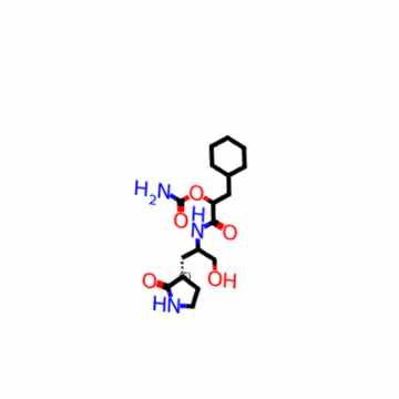 NC(=O)OC(CC1CCCCC1)C(=O)NC(CO)C[C@@H]1CCNC1=O